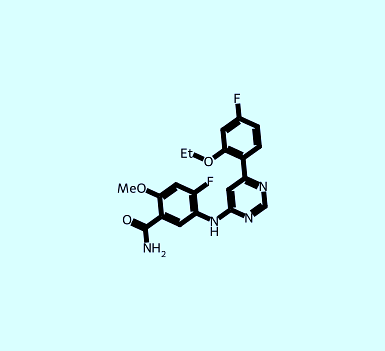 CCOc1cc(F)ccc1-c1cc(Nc2cc(C(N)=O)c(OC)cc2F)ncn1